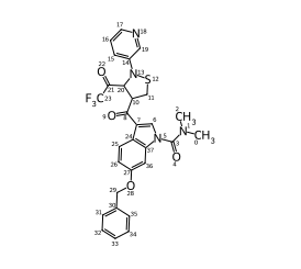 CN(C)C(=O)n1cc(C(=O)C2CSN(c3cccnc3)C2C(=O)C(F)(F)F)c2ccc(OCc3ccccc3)cc21